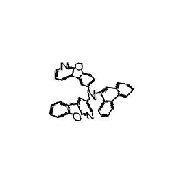 c1ccc2c(c1)cc(N(c1ccc3oc4ncccc4c3c1)c1cnc3oc4ccccc4c3c1)c1ccccc12